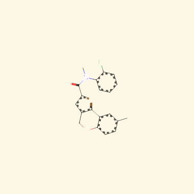 Cc1ccc2c(c1)-c1sc(C(=O)N(C)c3ccccc3F)cc1CO2